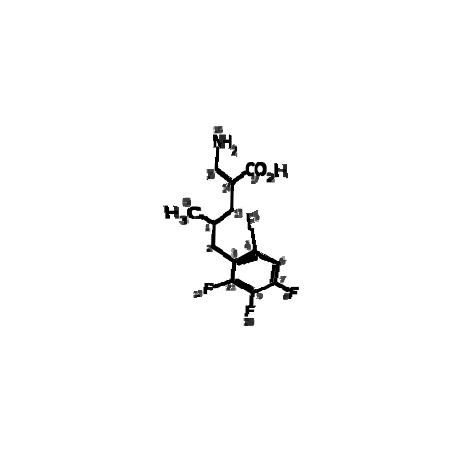 CC(Cc1c(F)cc(F)c(F)c1F)CC(CN)C(=O)O